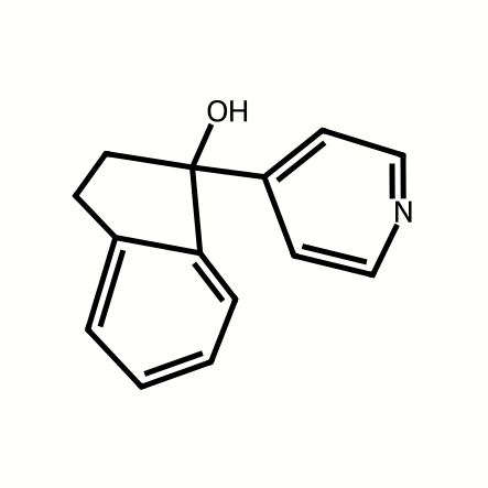 OC1(c2ccncc2)CCc2ccccc21